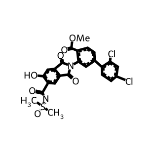 COC(=O)c1ccc(-c2ccc(Cl)cc2Cl)cc1N1C(=O)c2cc(O)c(C(=O)N=S(C)(C)=O)cc2C1=O